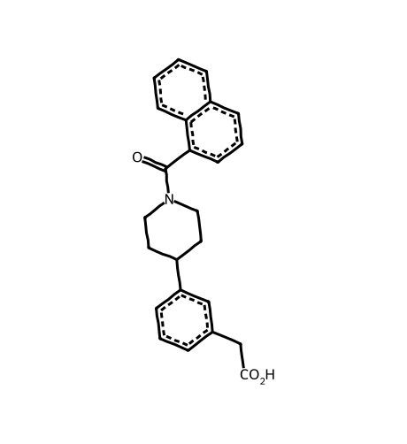 O=C(O)Cc1cccc(C2CCN(C(=O)c3cccc4ccccc34)CC2)c1